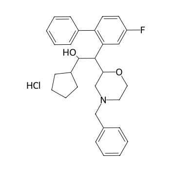 Cl.OC(C1CCCC1)C(c1cc(F)ccc1-c1ccccc1)C1CN(Cc2ccccc2)CCO1